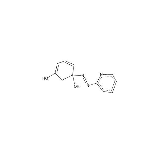 OC1=CC=CC(O)(N=Nc2ccccn2)C1